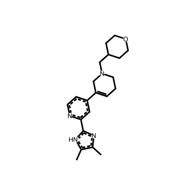 Cc1nc(-c2cc(C3=CCCN(CC4CCOCC4)C3)ccn2)[nH]c1C